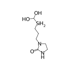 O=C1NCCN1CCC[SiH2]C(O)O